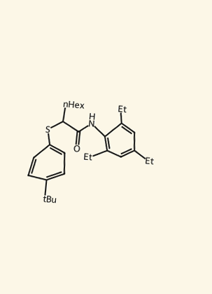 CCCCCCC(Sc1ccc(C(C)(C)C)cc1)C(=O)Nc1c(CC)cc(CC)cc1CC